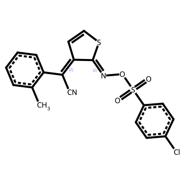 Cc1ccccc1/C(C#N)=C1\C=CS\C1=N/OS(=O)(=O)c1ccc(Cl)cc1